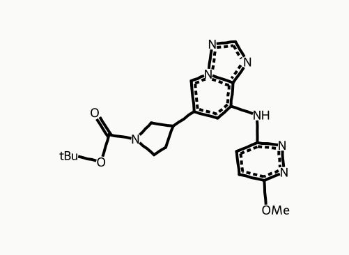 COc1ccc(Nc2cc(C3CCN(C(=O)OC(C)(C)C)C3)cn3ncnc23)nn1